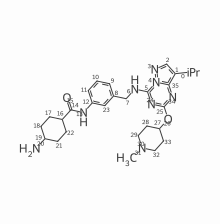 CC(C)c1cnn2c(NCc3cccc(NC(=O)C4CCC(N)CC4)c3)nc(OC3CCN(C)CC3)nc12